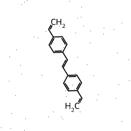 C=Cc1ccc(C=Cc2ccc(C=C)cc2)cc1